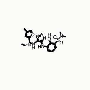 CC[C@@H](Nc1nsnc1Nc1cccc(S(=O)(=O)N(C)C)c1O)c1cc(C)co1